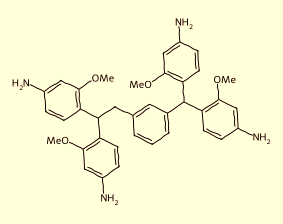 COc1cc(N)ccc1C(Cc1cccc(C(c2ccc(N)cc2OC)c2ccc(N)cc2OC)c1)c1ccc(N)cc1OC